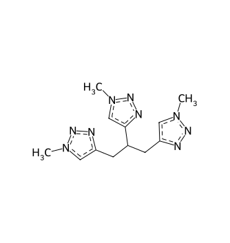 Cn1cc(CC(Cc2cn(C)nn2)c2cn(C)nn2)nn1